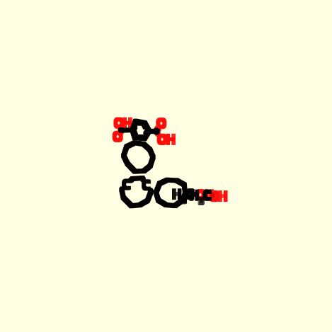 C1CCCCCCCCC1.C1CCCCCCCCC1.C1CCCCCCCCC1.CO.CO.O=C(O)c1ccc(C(=O)O)cc1